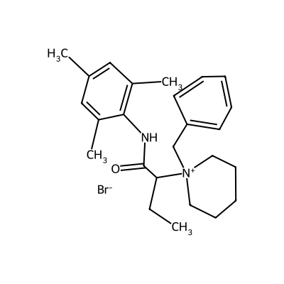 CCC(C(=O)Nc1c(C)cc(C)cc1C)[N+]1(Cc2ccccc2)CCCCC1.[Br-]